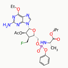 CCOc1nc(N)nc2c1ncn2[C@@H]1O[C@H](CO[P@@](=O)(N[C@@H](C)C(=O)OC(C)C)Oc2ccccc2)[C@@H](CF)[C@H]1OC(C)=O